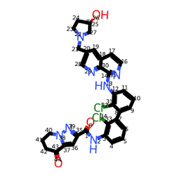 O=C(Nc1cccc(-c2cccc(Nc3nccc4cc(CN5CC[C@@H](O)C5)cnc34)c2Cl)c1Cl)c1cc2n(n1)CCCC2=O